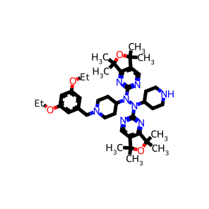 CCOc1cc(CN2CCC(N(c3ncc4c(n3)C(C)(C)OC4(C)C)N(c3ncc4c(n3)C(C)(C)OC4(C)C)C3CCNCC3)CC2)cc(OCC)c1